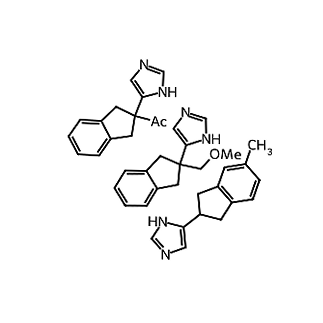 CC(=O)C1(c2cnc[nH]2)Cc2ccccc2C1.COCC1(c2cnc[nH]2)Cc2ccccc2C1.Cc1ccc2c(c1)CC(c1cnc[nH]1)C2